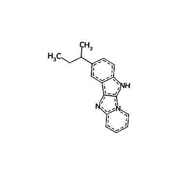 CCC(C)c1ccc2[nH]c3c(nc4ccccn43)c2c1